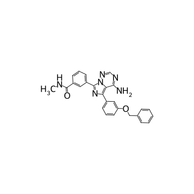 CNC(=O)c1cccc(-c2nc(-c3cccc(OCc4ccccc4)c3)c3c(N)ncnn23)c1